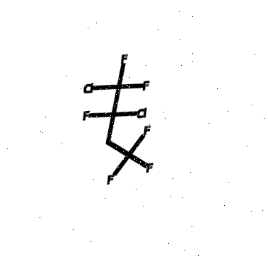 FC(F)(F)CC(F)(Cl)C(F)(F)Cl